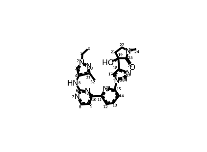 CCn1cc(Nc2nccc(-c3cccc(-n4cc(C5(O)CCN(C)C5=O)nn4)n3)n2)c(C)n1